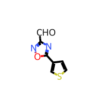 O=Cc1noc(-c2ccsc2)n1